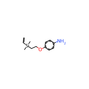 C=C[Si](C)(C)CCOc1ccc(N)cc1